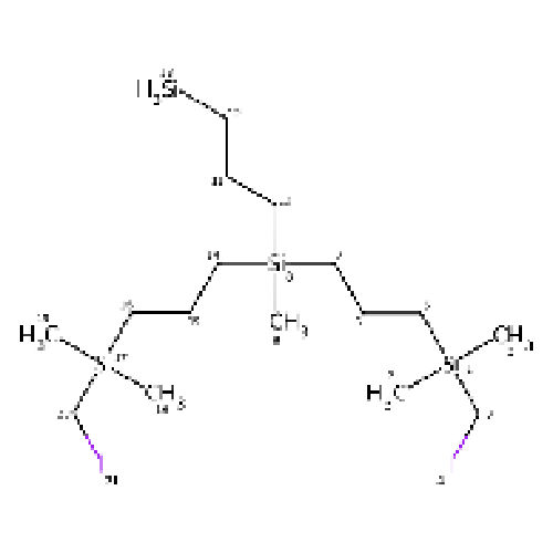 C[Si](C)(CI)CCC[Si](C)(CCC[SiH3])CCC[Si](C)(C)CI